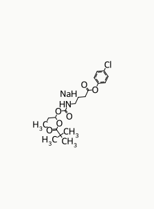 CCC(OC(=O)NCCCC(=O)Oc1ccc(Cl)cc1)OC(=O)C(C)(C)C.[NaH]